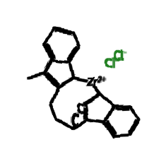 CC1=C2CCC3CCC4=C3c3ccccc3[CH]4[Zr+2][CH]2c2ccccc21.[Cl-].[Cl-]